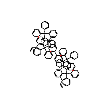 C=CCc1cccc(N(c2ccc(-c3ccc(N(c4ccccc4C(c4ccccc4)(c4ccccc4)c4ccccc4)c4cccc(CC=C)c4C(c4ccccc4)(c4ccccc4)c4ccccc4)cc3)cc2)c2ccccc2C(c2ccccc2)(c2ccccc2)c2ccccc2)c1C(c1ccccc1)(c1ccccc1)c1ccccc1